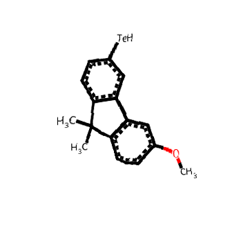 COc1ccc2c(c1)-c1cc([TeH])ccc1C2(C)C